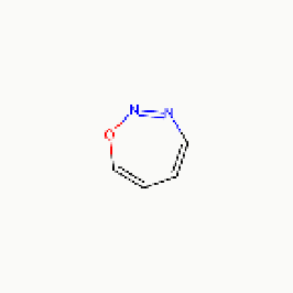 C1=CN=NOC=C1